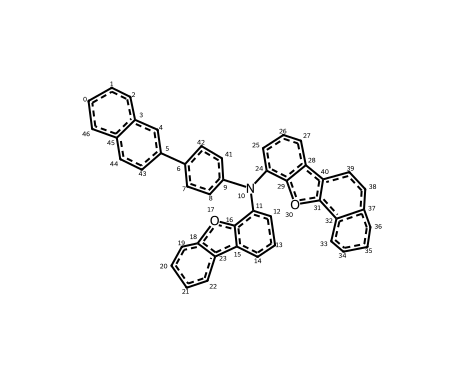 c1ccc2cc(-c3ccc(N(c4cccc5c4oc4ccccc45)c4cccc5c4oc4c6ccccc6ccc54)cc3)ccc2c1